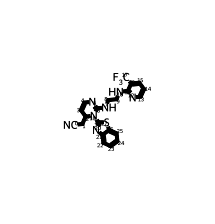 N#CCC1C=CN=C(NCCNc2ncccc2C(F)(F)F)N1c1nc2ccccc2s1